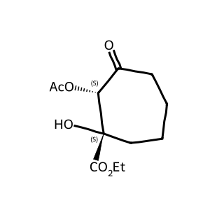 CCOC(=O)[C@]1(O)CCCCC(=O)[C@H]1OC(C)=O